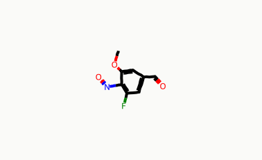 COc1cc(C=O)cc(F)c1N=O